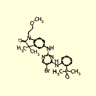 COCCN1C(=O)C(C)(C)c2cc(Nc3ncc(Br)c(Nc4ccccc4P(C)(C)=O)n3)ccc21